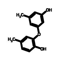 Cc1cc(O)cc(Oc2cc(C)ccc2O)c1